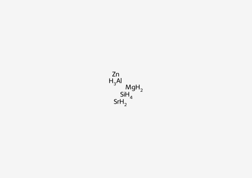 [AlH3].[MgH2].[SiH4].[SrH2].[Zn]